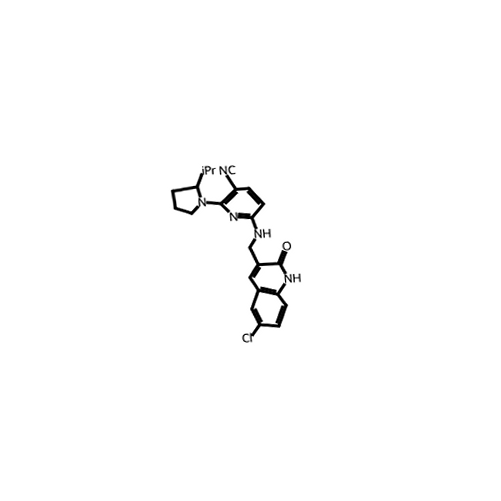 CC(C)C1CCCN1c1nc(NCc2cc3cc(Cl)ccc3[nH]c2=O)ccc1C#N